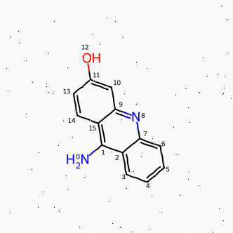 Nc1c2ccccc2nc2cc(O)ccc12